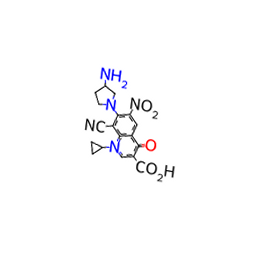 N#Cc1c(N2CCC(N)C2)c([N+](=O)[O-])cc2c(=O)c(C(=O)O)cn(C3CC3)c12